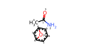 CC(N)=O.c1cc2cc(c1)O2